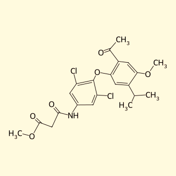 COC(=O)CC(=O)Nc1cc(Cl)c(Oc2cc(C(C)C)c(OC)cc2C(C)=O)c(Cl)c1